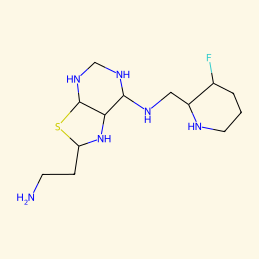 NCCC1NC2C(NCC3NCCCC3F)NCNC2S1